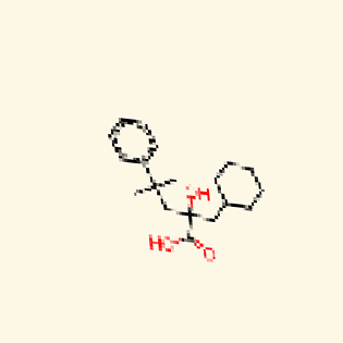 CC(C)(CC(O)(CC1CCCCC1)C(=O)O)c1ccccc1